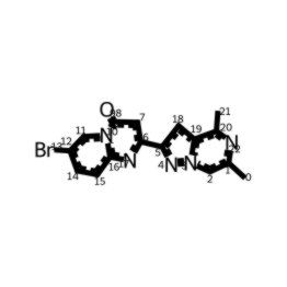 Cc1cn2nc(-c3cc(=O)n4cc(Br)ccc4n3)cc2c(C)n1